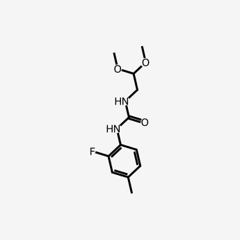 COC(CNC(=O)Nc1ccc(C)cc1F)OC